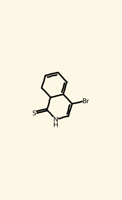 S=C1NC=C(Br)C2=CC=CCC12